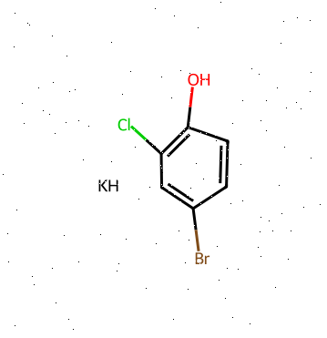 Oc1ccc(Br)cc1Cl.[KH]